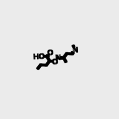 CCCC(O/N=C(\C)C/C=N\C)C(=O)O